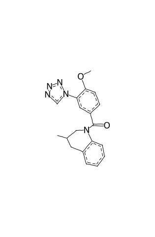 COc1ccc(C(=O)N2CC(C)Cc3ccccc32)cc1-n1cnnn1